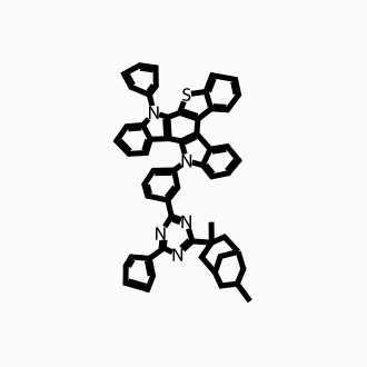 CC1CC2CC(C1)CC(C)(c1nc(-c3ccccc3)nc(-c3cccc(-n4c5ccccc5c5c6c7ccccc7sc6c6c(c7ccccc7n6-c6ccccc6)c54)c3)n1)C2